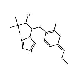 CON=C1C=CC(OC(C(O)C(C)(C)C)n2cncn2)=C(C)C1